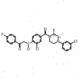 C[C@H]1[C@H](C)N(c2cccc(Cl)c2)CCN1C(=O)c1ccc([S+]([O-])CC(=O)c2ccc(F)cc2)c(Cl)c1